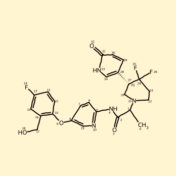 CC(C(=O)Nc1ccc(Oc2ccc(F)cc2CO)cn1)N1CCC(F)(F)[C@@H](c2ccc(=O)[nH]c2)C1